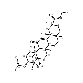 CCNC(=O)[C@@]1(C)CC[C@]2(C)CCC3C(=CC(=O)[C@@H]4[C@@]5(C)CC[C@H](OC(C)=O)C(C)(C)[C@@H]5CC[C@@]34C)[C@@H]2C1